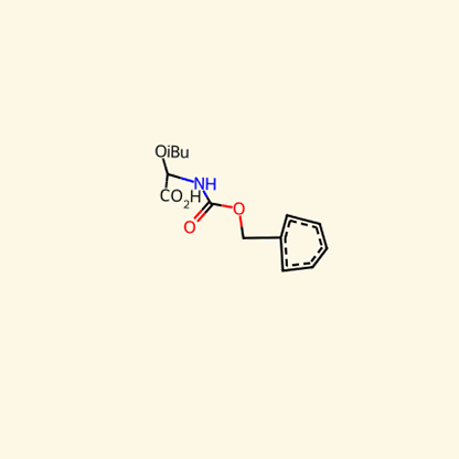 CC(C)COC(NC(=O)OCc1ccccc1)C(=O)O